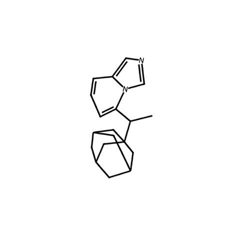 CC(c1cccc2cncn12)C12CC3CC(CC(C3)C1)C2